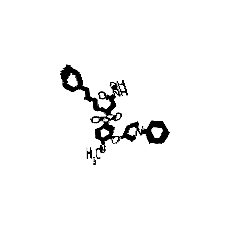 COc1ccc(S(=O)(=O)C(CCCCc2ccccc2)CC(=O)NO)cc1OC1CCN(c2ccccc2)C1